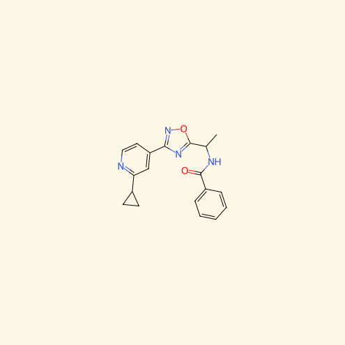 CC(NC(=O)c1ccccc1)c1nc(-c2ccnc(C3CC3)c2)no1